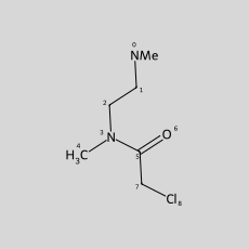 CNCCN(C)C(=O)CCl